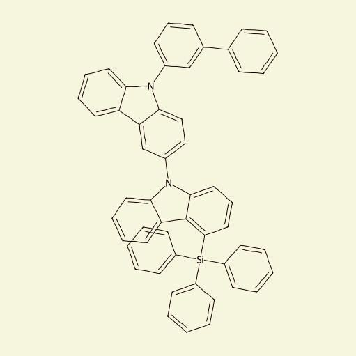 c1ccc(-c2cccc(-n3c4ccccc4c4cc(-n5c6ccccc6c6c([Si](c7ccccc7)(c7ccccc7)c7ccccc7)cccc65)ccc43)c2)cc1